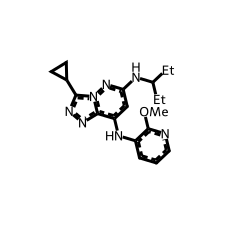 CCC(CC)Nc1cc(Nc2cccnc2OC)c2nnc(C3CC3)n2n1